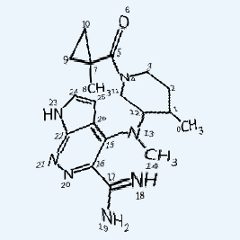 CC1CCN(C(=O)C2(C)CC2)CC1N(C)c1c(C(=N)N)nnc2[nH]ccc12